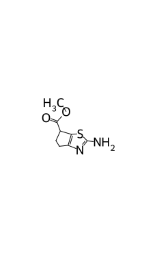 COC(=O)C1CCc2nc(N)sc21